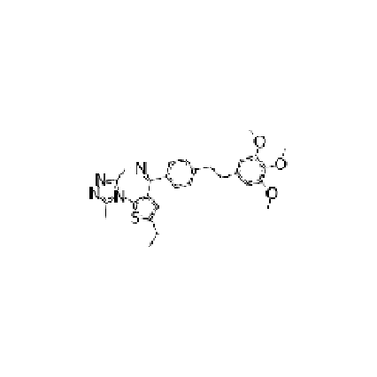 CCc1cc2c(s1)-n1c(C)nnc1CN=C2c1ccc(CCc2cc(OC)c(OC)c(OC)c2)cc1